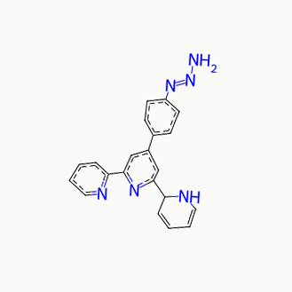 NN=Nc1ccc(-c2cc(-c3ccccn3)nc(C3C=CC=CN3)c2)cc1